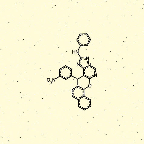 O=[N+]([O-])c1cccc(C2c3ccc4ccccc4c3Oc3ncn4nc(Nc5ccccc5)nc4c32)c1